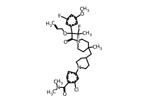 C=CCOC(C(=O)N1CCC(C)(CC2CCN(c3ccc(C(=O)N(C)C)c(Cl)c3)CC2)CC1)(c1cc(F)cc(OC)c1)C(C)(F)F